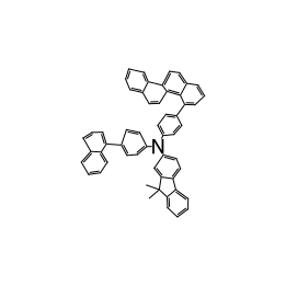 CC1(C)c2ccccc2-c2ccc(N(c3ccc(-c4cccc5ccccc45)cc3)c3ccc(-c4cccc5ccc6c7ccccc7ccc6c45)cc3)cc21